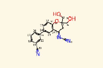 N#C/N=C1\CC(CO)(CO)Oc2ccc(-c3cccc(C#N)c3)cc21